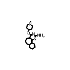 CN1CCC(Oc2nc(N)nc3c2=CCCC2CCC=CC=32)CC1